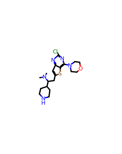 CN(C)C(Cc1cc2nc(Cl)nc(N3CCOCC3)c2s1)C1CCNCC1